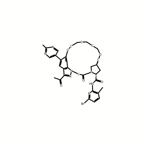 CC(=O)c1nn2c3cc(c(-c4cnc(C)nc4)cc13)OCCCCCCOC[C@]1(C)C[C@@H](C(=O)Nc3nc(Br)ccc3C)N(C1)C(=O)C2